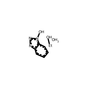 CCO.O.On1nnc2ccccc21